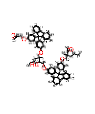 CCCCC(C)(COc1ccc(C2(c3ccc(OCC4CO4)cc3)c3ccccc3-c3ccccc32)cc1)C(O)COc1ccc(C2(c3ccc(OCC(C)(CCCC)C4CO4)cc3)c3ccccc3-c3ccccc32)cc1